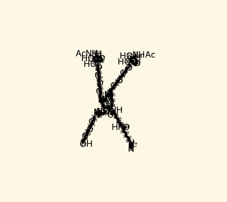 CC(=O)N[C@H]1[C@H]2OC[C@](COCCOCCOCCOCCn3cc(COCC(COCc4cn(CCOCCOCCOCCO)nn4)(COCc4cn(CCOCCOCCOCCOC[C@@]56CO[C@@H](O5)[C@H](NC(C)=O)[C@@H](O)[C@H]6O)nn4)NC(=O)CCCCCNC(=O)CCCCCN=[N+]=[N-])nn3)(O2)[C@H](O)[C@@H]1O